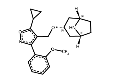 FC(F)(F)Oc1ccccc1-c1noc(C2CC2)c1CO[C@H]1C[C@H]2CC[C@@H](C1)N2